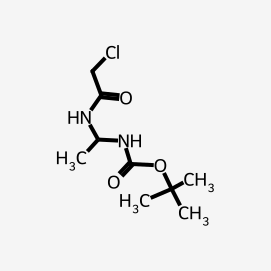 CC(NC(=O)CCl)NC(=O)OC(C)(C)C